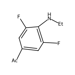 CCNc1c(F)cc(C(C)=O)cc1F